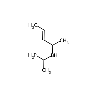 CC=CC(C)BC(C)P